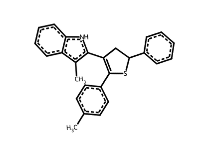 Cc1ccc(C2=C(c3[nH]c4ccccc4c3C)CC(c3ccccc3)S2)cc1